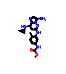 COC(=O)Nc1ccc(C)c(Nc2cc(NC3CC3)c3ncc(N)n3n2)c1